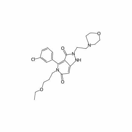 CCOCCCn1c(-c2cccc(Cl)c2)c2c(=O)n(CCN3CCOCC3)[nH]c2cc1=O